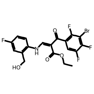 CCOC(=O)C(=CNc1ccc(F)cc1CO)C(=O)c1cc(F)c(F)c(Br)c1F